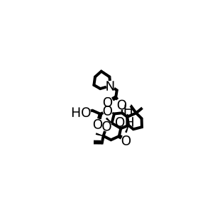 C=C[C@@]1(C)CC(=O)[C@]2(O)[C@@]3(C)CCCC(C)(C)[C@@H]3[C@H](OC(=O)CN3CCCCC3)[C@H](OC(=O)CO)[C@@]2(C)O1